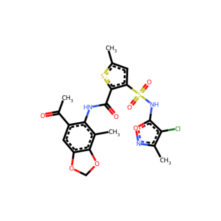 CC(=O)c1cc2c(c(C)c1NC(=O)c1sc(C)cc1S(=O)(=O)Nc1onc(C)c1Cl)OCO2